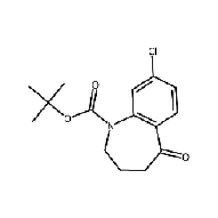 CC(C)(C)OC(=O)N1CCCC(=O)c2ccc(Cl)cc21